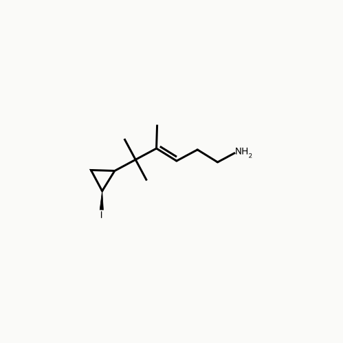 CC(=CCCN)C(C)(C)C1C[C@@H]1I